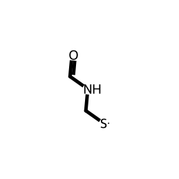 O=CNC[S]